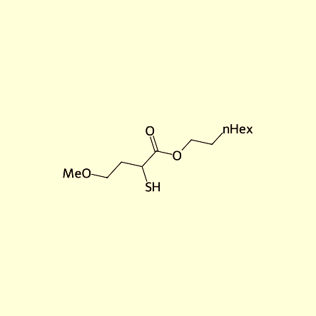 CCCCCCCCOC(=O)C(S)CCOC